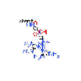 CCCCCC(=O)Nc1ccc(N(O)C(=O)c2ccc(Nc3nc(N4C[C@H](N)C[C@H](N)C4)nc(N4C[C@H](N)C[C@H](N)C4)n3)cc2)cc1